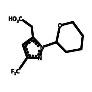 O=C(O)Cc1cc(C(F)(F)F)nn1C1CCCCO1